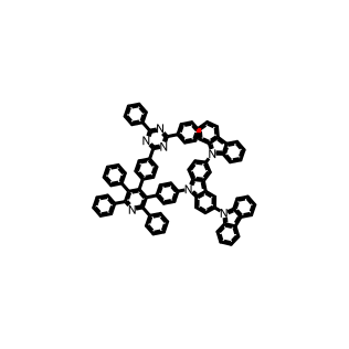 c1ccc(-c2nc(-c3ccccc3)nc(-c3ccc(-c4c(-c5ccccc5)c(-c5ccccc5)nc(-c5ccccc5)c4-c4ccc(-n5c6ccc(-n7c8ccccc8c8ccccc87)cc6c6cc(-n7c8ccccc8c8ccccc87)ccc65)cc4)cc3)n2)cc1